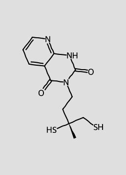 C[C@](S)(CS)CCn1c(=O)[nH]c2ncccc2c1=O